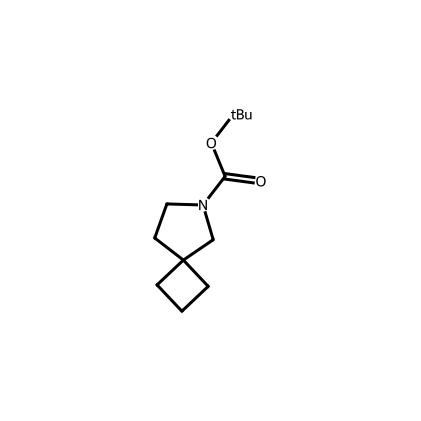 CC(C)(C)OC(=O)N1CCC2(CCC2)C1